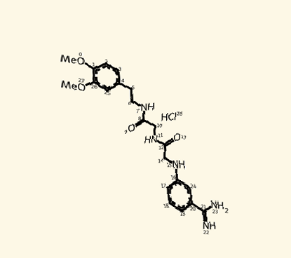 COc1ccc(CCNC(=O)CNC(=O)CNc2cccc(C(=N)N)c2)cc1OC.Cl